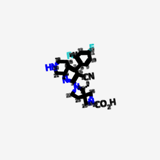 C[C@H]1N(c2nc3c(c(-c4ccc(F)cc4F)c2C#N)CCNC3)CCC12CN(C(=O)O)C2